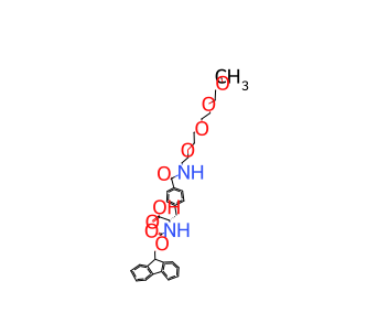 COCCOCCOCCOCCNC(=O)c1ccc(C[C@H](NC(=O)OCC2c3ccccc3-c3ccccc32)C(=O)O)cc1